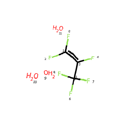 FC(F)=C(F)C(F)(F)F.O.O.O